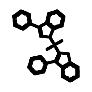 CS(C)(C1=C(c2ccccc2)c2ccccc2C1)C1C=C(c2ccccc2)c2ccccc21